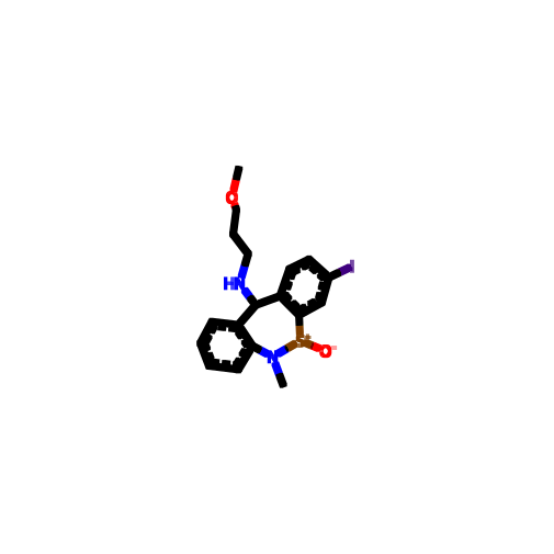 COCCCNC1c2ccccc2N(C)[S+]([O-])c2cc(I)ccc21